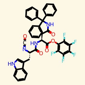 O=C=N[C@@H](Cc1c[nH]c2ccccc12)C(=O)N[C@@H](CC(=O)NC(c1ccccc1)(c1ccccc1)c1ccccc1)C(=O)Oc1c(F)c(F)c(F)c(F)c1F